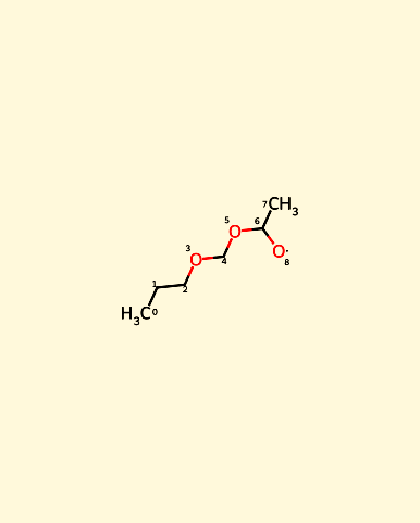 CCCOCOC(C)[O]